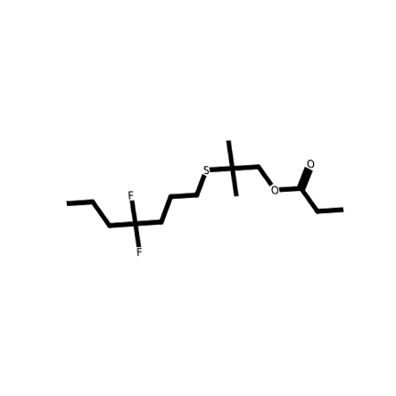 CCCC(F)(F)CCCSC(C)(C)COC(=O)CC